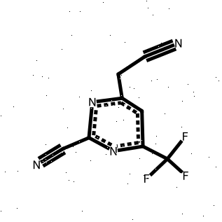 N#CCc1cc(C(F)(F)F)nc(C#N)n1